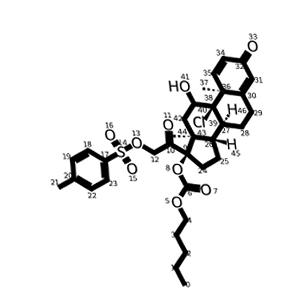 CCCCCOC(=O)O[C@]1(C(=O)COS(=O)(=O)c2ccc(C)cc2)CC[C@H]2[C@@H]3CCC4=CC(=O)C=C[C@]4(C)[C@@]3(Cl)C(O)C[C@@]21C